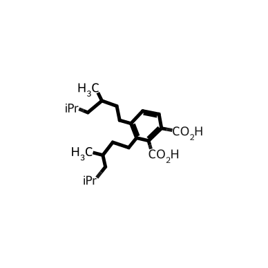 CC(C)CC(C)CCc1ccc(C(=O)O)c(C(=O)O)c1CCC(C)CC(C)C